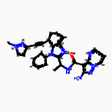 CC(NC(=O)c1c(N)nn2cccnc12)c1nc2cccc(C#Cc3ccn(C)n3)c2n1-c1ccccc1